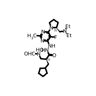 CCN(CC)C[C@@H]1CCCN1c1nc(C)nc(NNC(=O)[C@@H](CC2CCCC2)CN(O)C=O)c1F